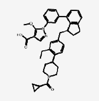 CCc1cc(C[C@@H]2CCc3cccc(-c4cccc(-n5ncc(C(=O)O)c5OC)c4)c32)ccc1C1CCN(C(=O)C2CC2)CC1